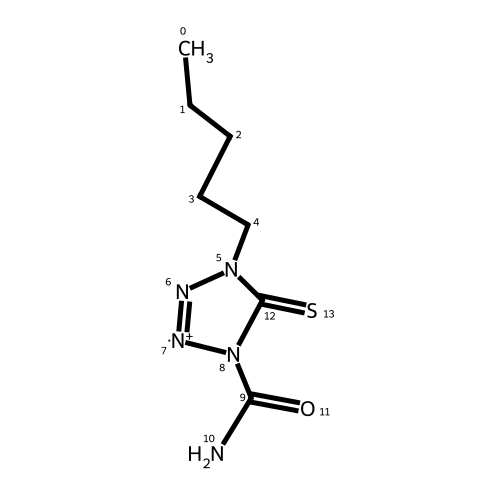 CCCCCN1N=[N+]N(C(N)=O)C1=S